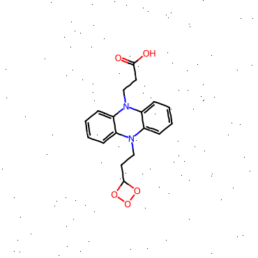 O=C(O)CCN1c2ccccc2N(CCC2OOO2)c2ccccc21